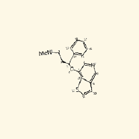 CNCC[C@H](Oc1cncc2ccsc12)c1ccccc1